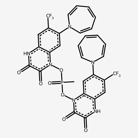 CP(=O)(On1c(=O)c(=O)[nH]c2cc(C(F)(F)F)c(N3C=CC=CC=C3)cc21)On1c(=O)c(=O)[nH]c2cc(C(F)(F)F)c(N3C=CC=CC=C3)cc21